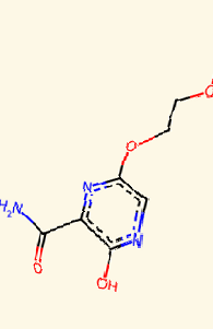 COCCOc1cnc(O)c(C(N)=O)n1